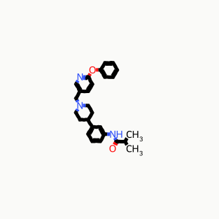 CC(C)C(=O)Nc1cccc(C2CCN(Cc3ccc(Oc4ccccc4)nc3)CC2)c1